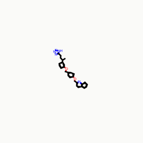 CC(CCc1nnn[nH]1)c1cccc(OCc2ccc(OCc3ccc4ccccc4n3)cc2)c1